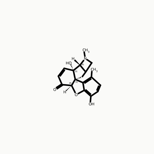 Cc1ccc(O)c2c1[C@]13CC4CN(C)[C@H]4[C@]1(O)C=CC(=O)[C@@H]3O2